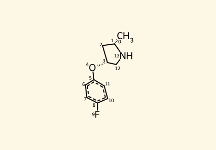 C[C@H]1C[C@@H](Oc2ccc(F)cc2)CN1